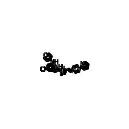 Clc1cc(NC2CCOCC2)c2[nH]c(C3=N[C@@H](CCN4CCN(c5ccccn5)CC4)CS3)cc2c1